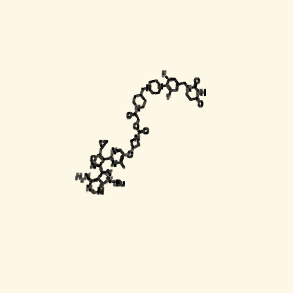 Cc1nc(-c2c(-c3nn(C(C)(C)C)c4ncnc(N)c34)noc2C2CC2)ncc1OC1CN(C(=O)OCC(=O)N2CCC(CN3CCN(c4c(F)cc(CN5CCC(=O)NC5=O)cc4F)CC3)CC2)C1